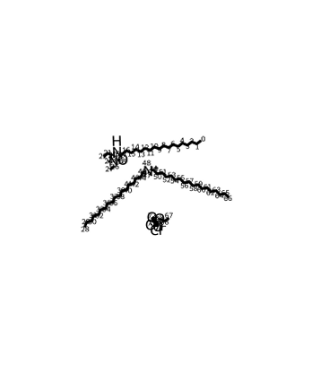 CCCCCCCCCCCCCCCCCC(=O)NC(CC)[N+](C)(C)CC.CCCCCCCCCCCCCCCCCC[N+](C)(C)CCCCCCCCCCCCCCCCCC.CCOS(=O)(=O)[O-].[Cl-]